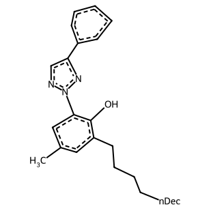 CCCCCCCCCCCCCCc1cc(C)cc(-n2ncc(-c3ccccc3)n2)c1O